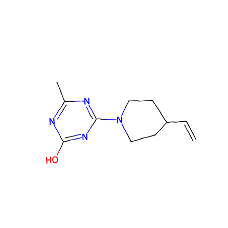 C=CC1CCN(c2nc(C)nc(O)n2)CC1